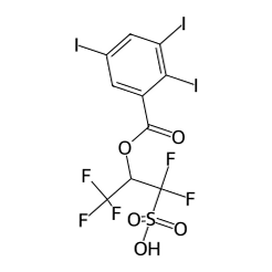 O=C(OC(C(F)(F)F)C(F)(F)S(=O)(=O)O)c1cc(I)cc(I)c1I